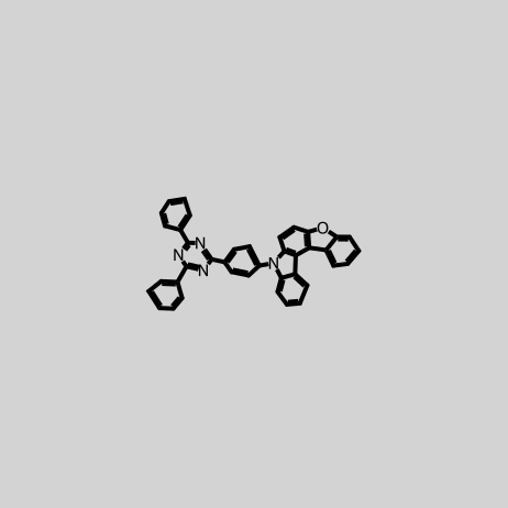 c1ccc(-c2nc(-c3ccccc3)nc(-c3ccc(-n4c5ccccc5c5c6c(ccc54)oc4ccccc46)cc3)n2)cc1